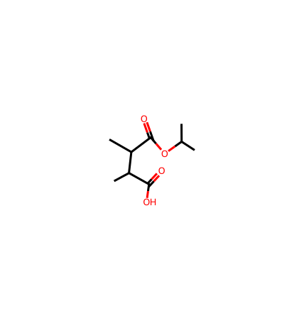 CC(C)OC(=O)C(C)C(C)C(=O)O